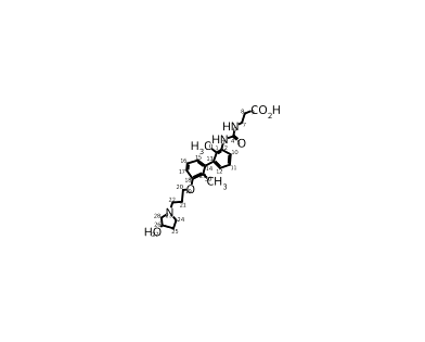 Cc1c(NC(=O)NCCC(=O)O)cccc1-c1cccc(OCCCN2CCC(O)C2)c1C